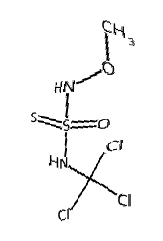 CONS(=O)(=S)NC(Cl)(Cl)Cl